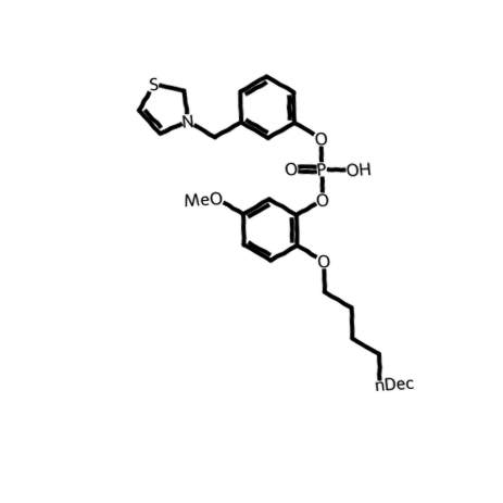 CCCCCCCCCCCCCCOc1ccc(OC)cc1OP(=O)(O)Oc1cccc(CN2C=CSC2)c1